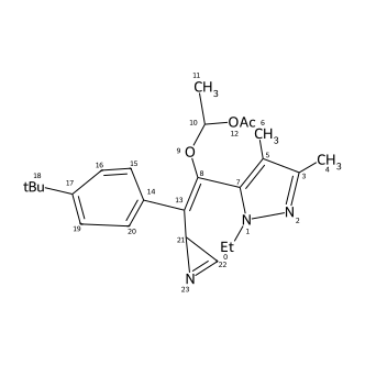 CCn1nc(C)c(C)c1/C(OC(C)OC(C)=O)=C(/c1ccc(C(C)(C)C)cc1)C1C=N1